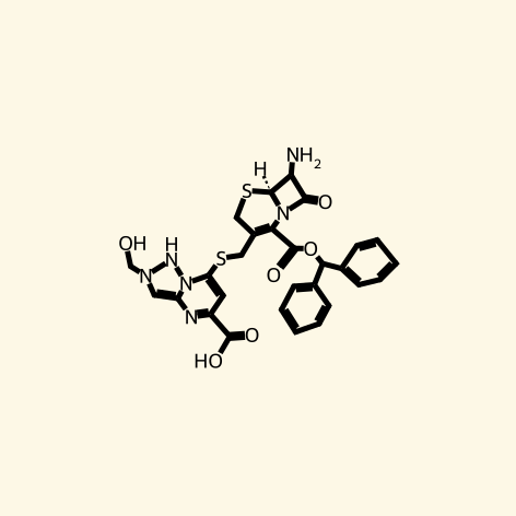 NC1C(=O)N2C(C(=O)OC(c3ccccc3)c3ccccc3)=C(CSC3=CC(C(=O)O)=NC4=CN(CO)NN43)CS[C@@H]12